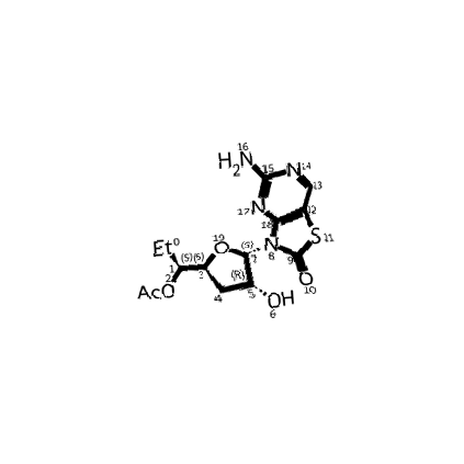 CC[C@H](OC(C)=O)[C@@H]1C[C@@H](O)[C@@H](n2c(=O)sc3cnc(N)nc32)O1